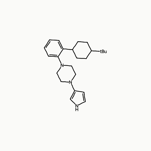 CC(C)(C)C1CCC(c2ccccc2N2CCN(c3cc[nH]c3)CC2)CC1